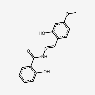 COc1ccc(C=NNC(=O)c2ccccc2O)c(O)c1